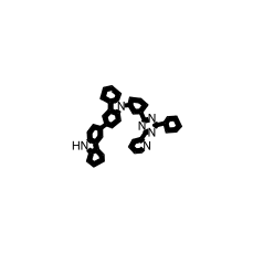 c1ccc(-c2nc(-c3cccc(-n4c5ccccc5c5cc(-c6ccc7[nH]c8ccccc8c7c6)ccc54)c3)nc(-c3ccccn3)n2)cc1